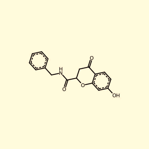 O=C1CC(C(=O)NCc2ccccc2)Oc2cc(O)ccc21